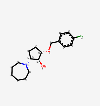 O[C@@H]1[C@@H](OCc2ccc(Br)cc2)CC[C@H]1N1CCCCCC1